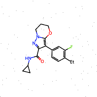 CCc1ccc(-c2c(C(=O)NC3CC3)nn3c2OCCC3)cc1F